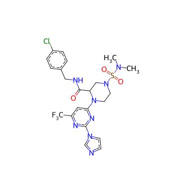 CN(C)S(=O)(=O)N1CCN(c2cc(C(F)(F)F)nc(-n3ccnc3)n2)C(C(=O)NCc2ccc(Cl)cc2)C1